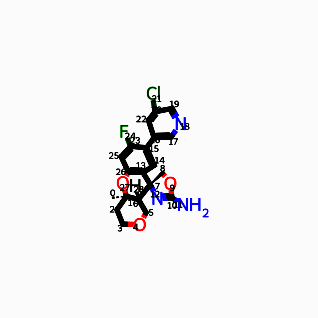 C[C@@]12CCOC[C@H]1[C@]1(COC(N)=N1)c1cc(-c3cncc(Cl)c3)c(F)cc1O2